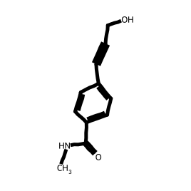 CNC(=O)c1ccc(C#CCO)cc1